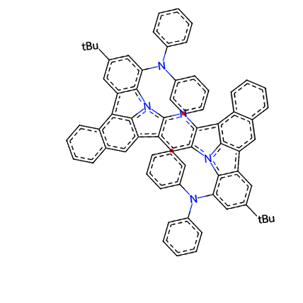 CC(C)(C)c1cc(N(c2ccccc2)c2ccccc2)c2c(c1)c1cc3ccccc3c3c4nc5c(cc4n2c13)c1cc2ccccc2c2c3cc(C(C)(C)C)cc(N(c4ccccc4)c4ccccc4)c3n5c12